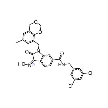 O=C(NCc1cc(Cl)cc(Cl)c1)c1ccc2c(c1)N(Cc1cc(F)cc3c1OCOC3)C(=O)/C2=N\O